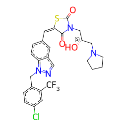 O=C1SC(=Cc2ccc3c(cnn3Cc3ccc(Cl)cc3C(F)(F)F)c2)C(=O)N1C[C@@H](O)CN1CCCC1